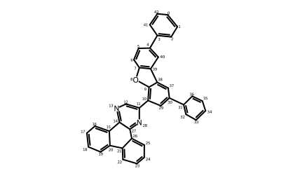 c1ccc(-c2ccc3oc4c(-c5cnc6c7ccccc7c7ccccc7c6n5)cc(-c5ccccc5)cc4c3c2)cc1